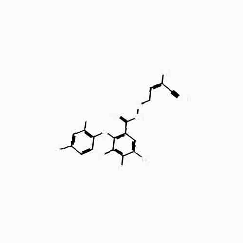 C#CC(C)=CCONC(=O)c1cc(Br)c(F)c(F)c1Nc1ccc(I)cc1C